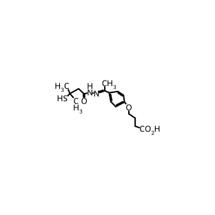 CC(=NNC(=O)CC(C)(C)S)c1ccc(OCCCC(=O)O)cc1